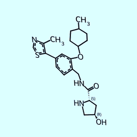 Cc1ncsc1-c1ccc(CNC(=O)[C@@H]2C[C@@H](O)CN2)c(OC2CCC(C)CC2)c1